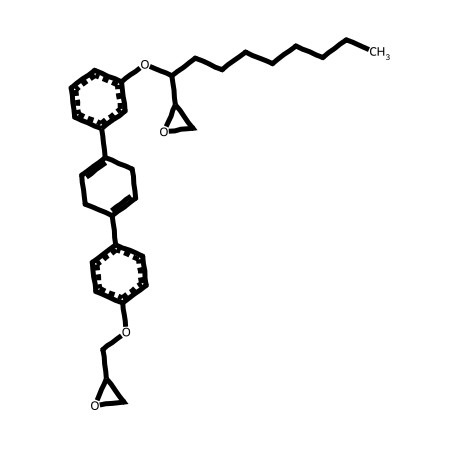 CCCCCCCCC(Oc1cccc(C2=CCC(c3ccc(OCC4CO4)cc3)=CC2)c1)C1CO1